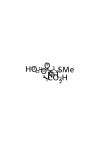 C=CC(=O)O.CSCC[C@H](N)C(=O)OCCO